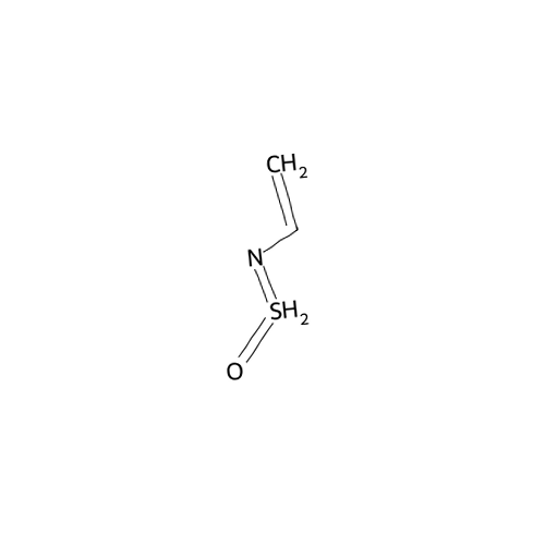 C=CN=[SH2]=O